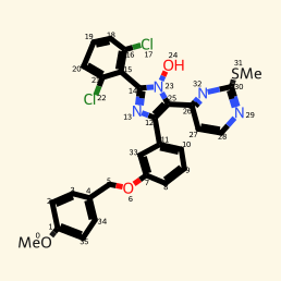 COc1ccc(COc2cccc(-c3nc(-c4c(Cl)cccc4Cl)n(O)c3-c3ccnc(SC)n3)c2)cc1